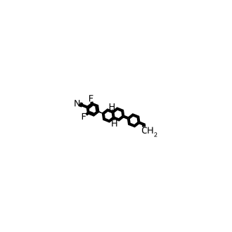 C=CC1CCC(C2CC[C@@H]3C[C@H](c4cc(F)c(C#N)c(F)c4)CC[C@@H]3C2)CC1